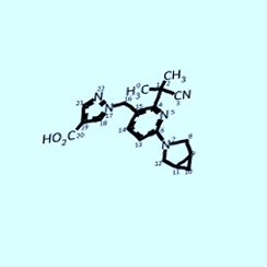 CC(C)(C#N)c1nc(N2CC3CC3C2)ccc1Cn1cc(C(=O)O)cn1